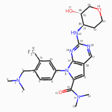 CN(C)Cc1ccc(-n2c(C(=O)N(C)C)cc3cnc(N[C@@H]4CCOC[C@H]4O)nc32)cc1C(F)(F)F